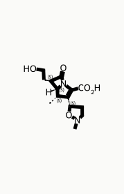 C[C@H]1C([C@@H]2CCN(C)O2)=C(C(=O)O)N2C(=O)[C@@H](CCO)[C@H]12